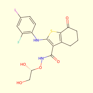 O=C1CCCc2c1sc(Nc1ccc(I)cc1F)c2C(=O)NO[C@@H](O)CO